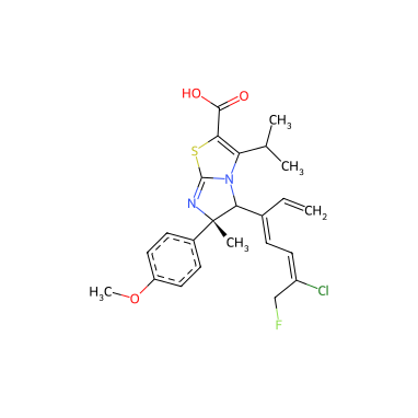 C=C/C(=C\C=C(\Cl)CF)C1N2C(=N[C@@]1(C)c1ccc(OC)cc1)SC(C(=O)O)=C2C(C)C